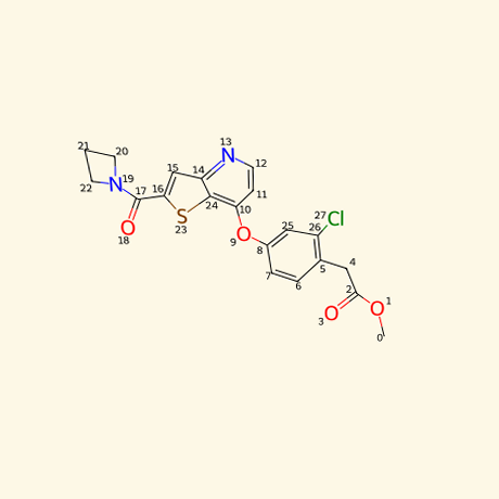 COC(=O)Cc1ccc(Oc2ccnc3cc(C(=O)N4CCC4)sc23)cc1Cl